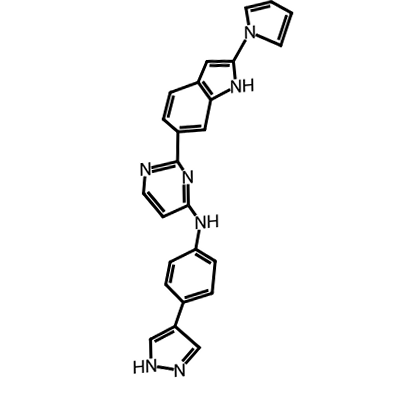 c1ccn(-c2cc3ccc(-c4nccc(Nc5ccc(-c6cn[nH]c6)cc5)n4)cc3[nH]2)c1